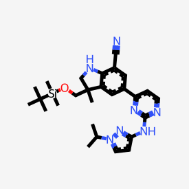 CC(C)n1ccc(Nc2nccc(-c3cc(C#N)c4c(c3)C(C)(CO[Si](C)(C)C(C)(C)C)CN4)n2)n1